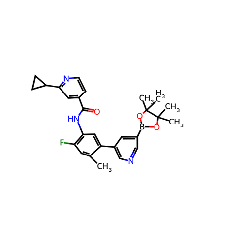 Cc1cc(F)c(NC(=O)c2ccnc(C3CC3)c2)cc1-c1cncc(B2OC(C)(C)C(C)(C)O2)c1